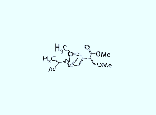 COC=C(C(=O)OC)c1cc2cc(C)c1ON2C(C)C(C)=O